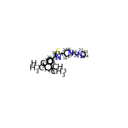 CC1(C)CCC(C)(C)c2cc(-c3csc(C4CCN(CCN5CCCC5)CC4)n3)ccc21